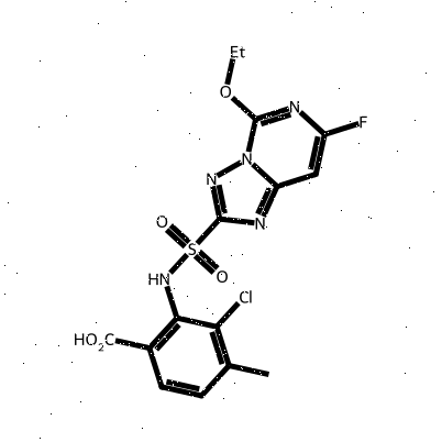 CCOc1nc(F)cc2nc(S(=O)(=O)Nc3c(C(=O)O)ccc(C)c3Cl)nn12